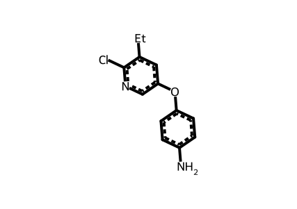 CCc1cc(Oc2ccc(N)cc2)cnc1Cl